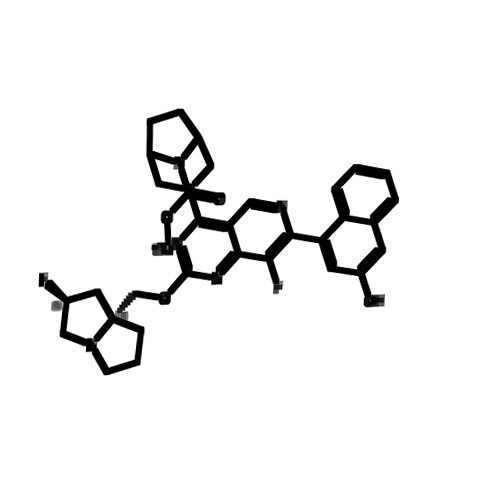 CC(C)(C)OC(=O)N1C2CCC1CN(c1nc(OC[C@]34CCCN3C[C@@H](F)C4)nc3c(F)c(-c4cc(O)cc5ccccc45)ncc13)C2